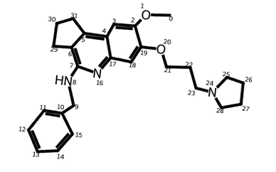 COc1cc2c3c(c(NCc4ccccc4)nc2cc1OCCCN1CCCC1)CCC3